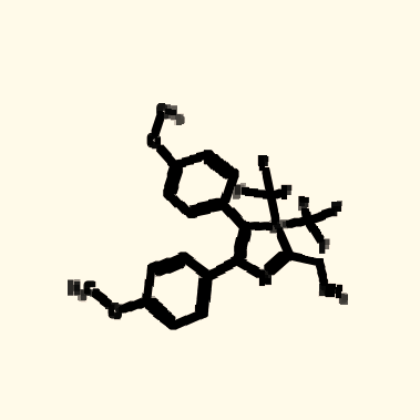 COc1ccc(C2=C(c3ccc(OC)cc3)[N+](C(F)(F)F)(C(F)(F)F)C(CN)=N2)cc1